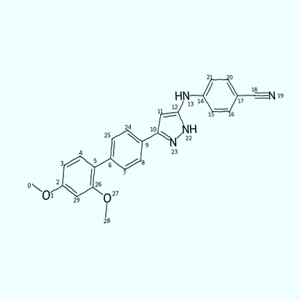 COc1ccc(-c2ccc(-c3cc(Nc4ccc(C#N)cc4)[nH]n3)cc2)c(OC)c1